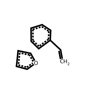 C=Cc1ccccc1.c1ccoc1